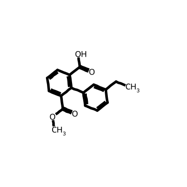 CCc1cccc(-c2c(C(=O)O)cccc2C(=O)OC)c1